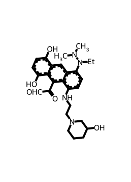 CCN(c1ccc(NCCN2CCCC(O)C2)c2c(C(=O)C=O)c3c(O)ccc(O)c3cc12)N(C)C